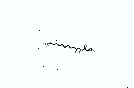 C=CC(=O)OCC(O)CCCCCCCCCC